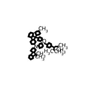 Cc1ccc(C2(c3ccc(OCc4ccc(C(CC(C)C)C(C)C)cc4)cc3)c3ccccc3-c3ccc(N(c4ccccc4)c4ccc5c(c4)C(C)(C)c4ccccc4-5)cc32)cc1